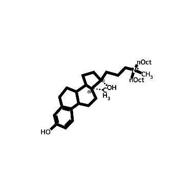 CCCCCCCC[N+](C)(CCCCCCCC)CCC[C@]1(O)CCC2C3CCc4cc(O)ccc4C3CC[C@@]21C